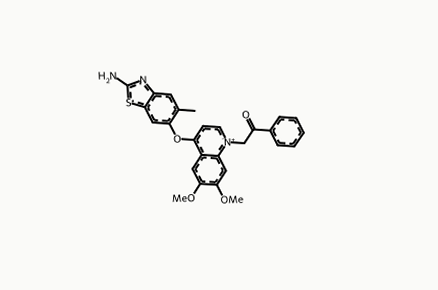 COc1cc2c(Oc3cc4sc(N)nc4cc3C)cc[n+](CC(=O)c3ccccc3)c2cc1OC